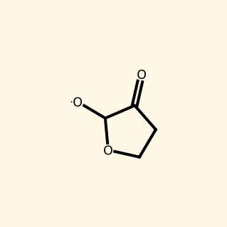 [O]C1OCCC1=O